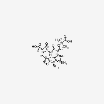 CC(C)(O/N=C(\C(=O)NC1C(=O)N(S(=O)(=O)O)C1Cc1cc(CN)on1)C1=CSC(N)N1)C(=O)O